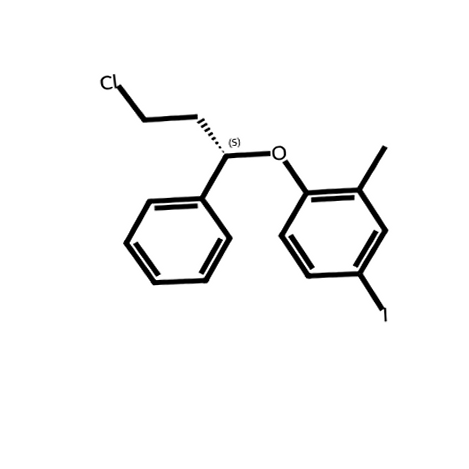 Cc1cc(I)ccc1O[C@@H](CCCl)c1ccccc1